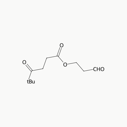 CC(C)(C)C(=O)CCC(=O)OCCC=O